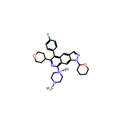 CCC[N+]1(c2nc(C3CCOCC3)c(-c3ccc(F)cc3)c3cc4cnn(C5CCCCO5)c4cc23)CCN(C)CC1